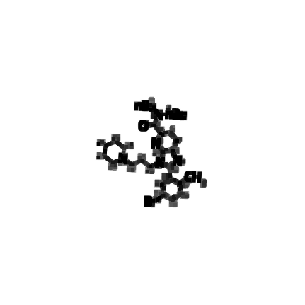 CCCCN(CCCC)C(=O)c1ccc2nc(-c3cc(Br)ccc3C)n(CCCN3CCCCC3)c2n1